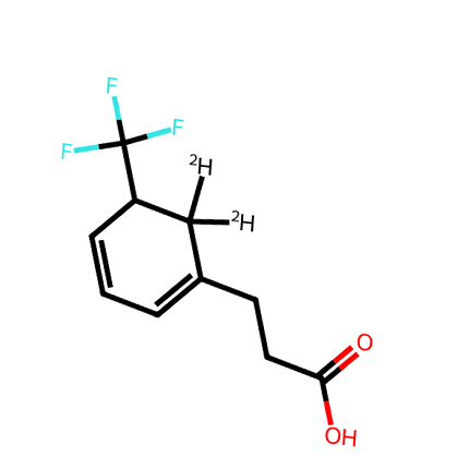 [2H]C1([2H])C(CCC(=O)O)=CC=CC1C(F)(F)F